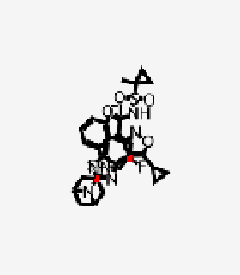 CC1(S(=O)(=O)NC(=O)c2cc(F)c3nc(N4C5CC(NCc6c(-c7c(Cl)cccc7Cl)noc6C6CC6)CC4C5)sc3c2)CC1